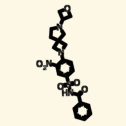 O=C(NS(=O)(=O)c1ccc(N2CC3(CCN(C4COC4)C3)C2)c([N+](=O)[O-])c1)c1ccccc1